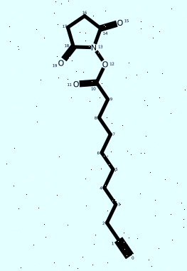 C#CCCCCCCCCC(=O)ON1C(=O)CCC1=O